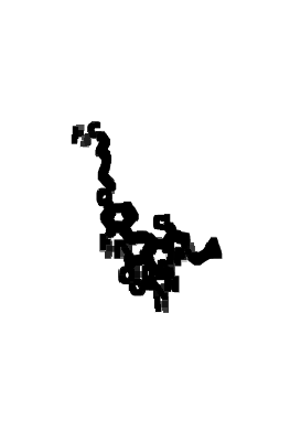 O=c1[nH]nnn1C1=C(c2nn(CC3CC3)cc2Cl)C=C(c2ccc(OCCCCCC(F)(F)F)cc2F)NC1O